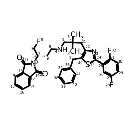 CC(C)(CNCC[C@@H](CF)N1C(=O)c2ccccc2C1=O)Cc1nc(-c2cc(F)ccc2F)sc1Cc1ccccc1